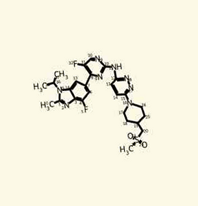 Cc1nc2c(F)cc(-c3nc(Nc4ccc(N5CCC(CS(C)(=O)=O)CC5)nn4)ncc3F)cc2n1C(C)C